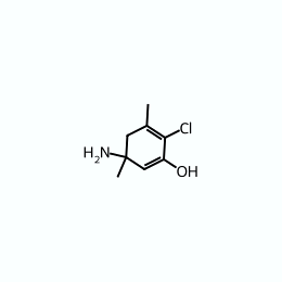 CC1=C(Cl)C(O)=CC(C)(N)C1